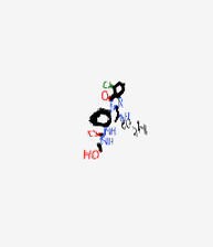 CC(NC(=O)O)c1nc2cccc(Cl)c2c(=O)n1-c1cccc(NC(=O)NCCO)c1